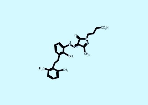 CC1=NN(CCCC(=O)O)C(=O)/C1=N\Nc1cccc(CCc2c(C)cccc2C)c1O